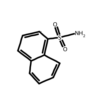 NS(=O)(=O)c1[c]ccc2ccccc12